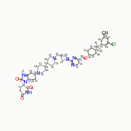 Cn1c(=O)n(C2CCC(=O)NC2=O)c2ccc(N3CCC(C4CCN(CC5CN(c6nccc(COc7ccc(C(C)(C)c8cc(Cl)cc(C#N)c8)cc7)n6)C5)CC4)CC3)cc21